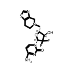 Nc1ccn([C@@H]2O[C@H](CN3CCc4scnc4C3)[C@@H](O)C2(F)F)c(=O)n1